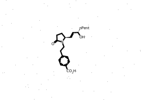 CCCCC[C@H](O)C=C[C@@H]1CCC(=O)N1CCc1ccc(C(=O)O)cc1